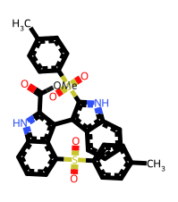 COC(=O)c1[nH]c2cccc(S(=O)(=O)c3ccc(C)cc3)c2c1-c1c(S(=O)(=O)c2ccc(C)cc2)[nH]c2ccccc12